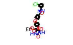 CCOCCC1(Oc2ccc(Oc3ccc(-c4nc(-c5cccc(Cl)c5)no4)cc3)cc2)C(=O)NC(=O)NC1=O